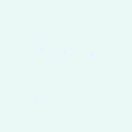 N#CCc1ccc(C2=CC3C=CN=CC3C(NC3CCNCC3)=C2)cc1